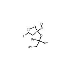 CCO[Si](CCF)(OCC)OC(CC(C)C)(C(C)C)C(C)C